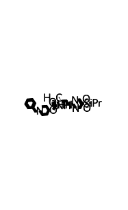 CC(C)S(=O)(=O)c1cnc(NC[C@@H](C)NC(=O)OC2CCN(Cc3ccccc3)CC2)nc1